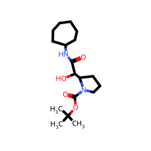 CC(C)(C)OC(=O)N1CCCC1C(O)C(=O)NC1CCCCCC1